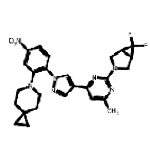 Cc1cc(-c2cnn(-c3ccc([N+](=O)[O-])cc3N3CCC4(CC3)CC4)c2)nc(N2CC3C(C2)C3(F)F)n1